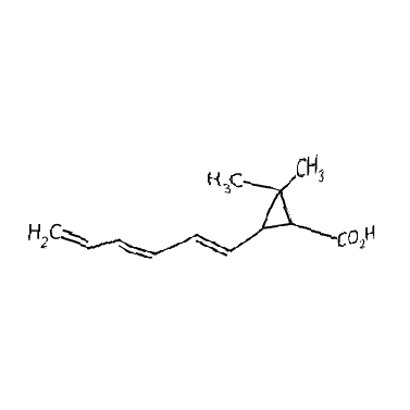 C=C/C=C/C=C/C1C(C(=O)O)C1(C)C